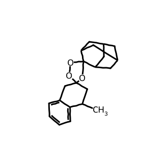 CC1CC2(Cc3ccccc31)OOC1(O2)C2CC3CC(C2)CC1C3